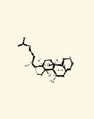 CC(C)CCC[C@@H](C)[C@H]1CC[C@H]2[C@@H]3[C@@H](O)CC4=CCCC[C@]4(C)[C@H]3CC[C@]12C